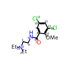 CCN(CC)CCNC(=O)c1cc(Cl)cc(Cl)c1OC